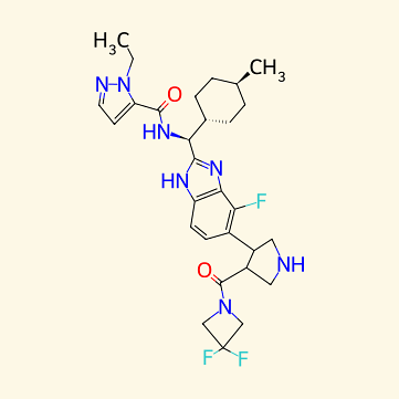 CCn1nccc1C(=O)N[C@H](c1nc2c(F)c(C3CNCC3C(=O)N3CC(F)(F)C3)ccc2[nH]1)[C@H]1CC[C@H](C)CC1